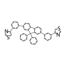 c1ccc(C2(c3ccccc3)c3cc(-c4cccc(-c5cscn5)c4)ccc3-c3ccc(-c4cccc(-c5cscn5)c4)cc32)cc1